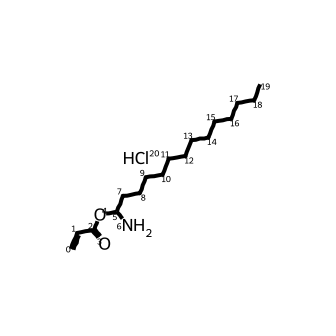 C=CC(=O)OC(N)CCCCCCCCCCCCC.Cl